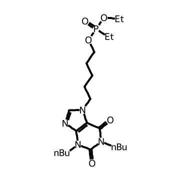 CCCCn1c(=O)c2c(ncn2CCCCCOP(=O)(CC)OCC)n(CCCC)c1=O